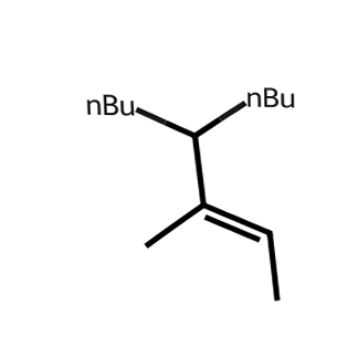 CC=C(C)C(CCCC)CCCC